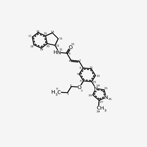 CCCOc1cc(/C=C/C(=O)NC2CCc3ccccc32)ccc1-n1cnc(C)c1